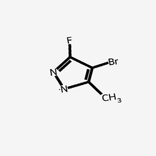 CC1=C(Br)C(F)=N[N]1